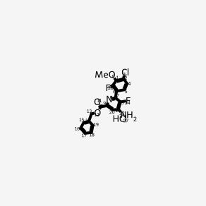 COc1c(Cl)ccc(-c2nc(C(=O)OCc3ccccc3)cc(N)c2F)c1F.Cl